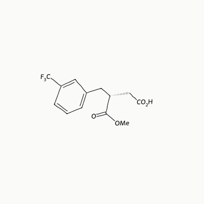 COC(=O)[C@@H](CC(=O)O)Cc1cccc(C(F)(F)F)c1